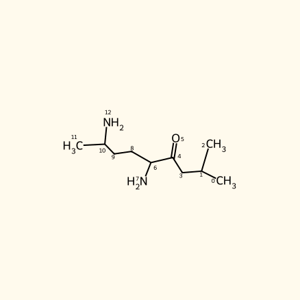 CC(C)CC(=O)C(N)CCC(C)N